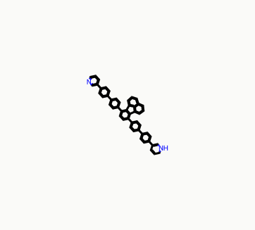 C1=CC(c2ccc(-c3ccc(-c4ccc(-c5ccc(-c6ccc(-c7cccnc7)cc6)cc5)c5c4-c4cccc6cccc-5c46)cc3)cc2)=CNC1